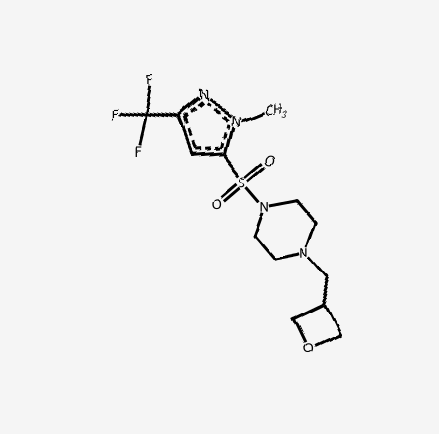 Cn1nc(C(F)(F)F)cc1S(=O)(=O)N1CCN(CC2COC2)CC1